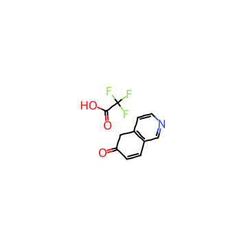 O=C(O)C(F)(F)F.O=C1C=Cc2cnccc2C1